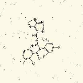 C[C@@H](Nc1ncnc2[nH]cnc12)c1nc2ccc(F)c(Cl)c2c(=O)n1-c1ccc(F)cc1F